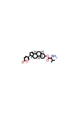 CC(C)C(N)C(=O)O[C@H]1CC[C@@]2(C)[C@H](CC[C@H]3C4=CC[C@H](c5ccc(=O)oc5)[C@@]4(C)CC[C@@H]32)C1